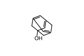 OC12C=C3C=C(C=C(C3)C1)C2